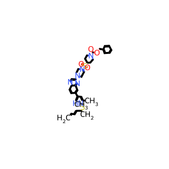 C=CC=CC(=C)SNC(C)=CC(=CC)c1ccc2ncc(N3CCN(S(=O)(=O)C4CCN(C(=O)OCc5ccccc5)CC4)CC3)nc2c1